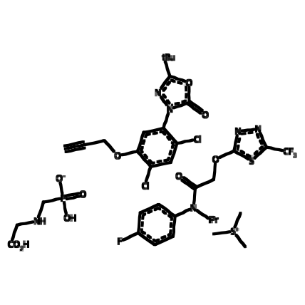 C#CCOc1cc(-n2nc(C(C)(C)C)oc2=O)c(Cl)cc1Cl.CC(C)N(C(=O)COc1nnc(C(F)(F)F)s1)c1ccc(F)cc1.C[S+](C)C.O=C(O)CNCP(=O)([O-])O